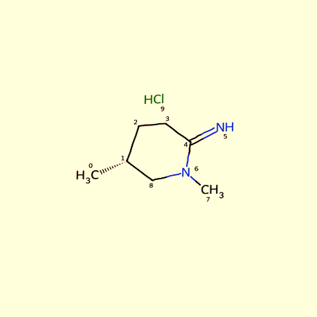 C[C@@H]1CCC(=N)N(C)C1.Cl